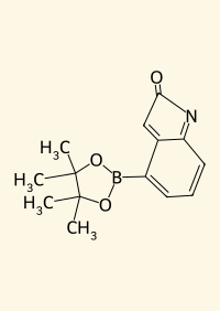 CC1(C)OB(c2cccc3c2=CC(=O)N=3)OC1(C)C